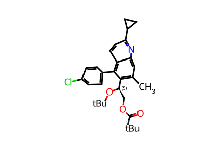 Cc1cc2nc(C3CC3)ccc2c(-c2ccc(Cl)cc2)c1[C@@H](COC(=O)C(C)(C)C)OC(C)(C)C